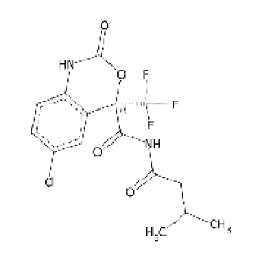 CC(C)CC(=O)NC(=O)[C@]1(C(F)(F)F)OC(=O)Nc2ccc(Cl)cc21